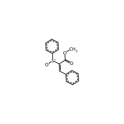 COC(=O)/C(=C\c1ccccc1)[S+]([O-])c1ccccc1